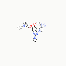 COc1cc2c(N3CCCC(N)C3)nc(N3CCCC3)nc2cc1OCCCN(C)C